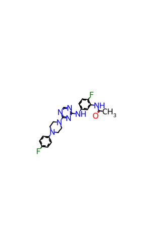 CC(=O)Nc1cc(Nc2ncnc(N3CCN(c4ccc(F)cc4)CC3)n2)ccc1F